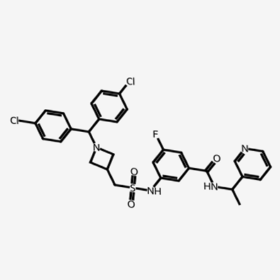 CC(NC(=O)c1cc(F)cc(NS(=O)(=O)CC2CN(C(c3ccc(Cl)cc3)c3ccc(Cl)cc3)C2)c1)c1cccnc1